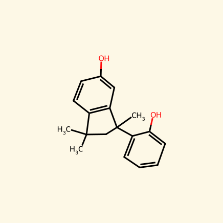 CC1(C)CC(C)(c2ccccc2O)c2cc(O)ccc21